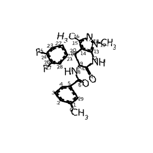 Cc1cccc(C(=O)N[C@H]2C(=O)Nc3c(c(C)nn3C)[C@H]2c2ccc(F)c(F)c2)c1